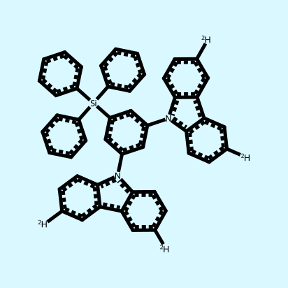 [2H]c1ccc2c(c1)c1cc([2H])ccc1n2-c1cc(-n2c3ccc([2H])cc3c3cc([2H])ccc32)cc([Si](c2ccccc2)(c2ccccc2)c2ccccc2)c1